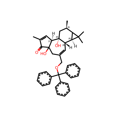 CC1=C[C@@H]2C(O)(CC(COC(c3ccccc3)(c3ccccc3)c3ccccc3)=C[C@H]3[C@H]4C([C@H](C)C[C@]23O)C4(C)C)C1=O